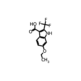 CCOc1ccc2c(C(=O)O)c(C(F)(F)F)[nH]c2c1